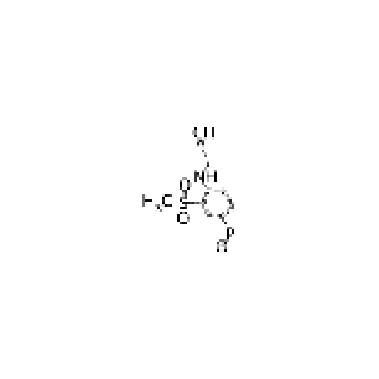 C#CCNc1ccc(P=O)cc1S(C)(=O)=O